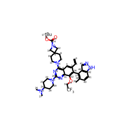 C=Cc1cc2c(N3CCC4(CC3)CN(C(=O)OC(C)(C)C)C4)nc(N3CCC(N(C)C)CC3)nc2c(OCC(F)(F)F)c1-c1c(C)ccc2[nH]ncc12